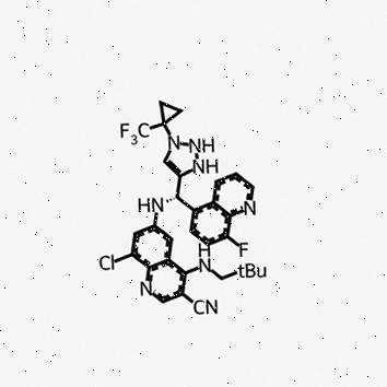 CC(C)(C)CNc1c(C#N)cnc2c(Cl)cc(N[C@H](C3=CN(C4(C(F)(F)F)CC4)NN3)c3ccc(F)c4ncccc34)cc12